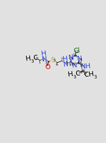 CCNC(=O)SCCNc1nc(Cl)nc(NC(C)C)n1